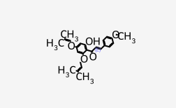 COc1ccc(/C=C/C(=O)c2c(O)cc(OC=C(C)C)cc2OCC=C(C)C)cc1